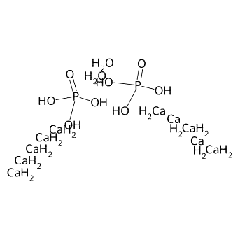 O.O.O=P(O)(O)O.O=P(O)(O)O.[CaH2].[CaH2].[CaH2].[CaH2].[CaH2].[CaH2].[CaH2].[CaH2].[CaH2].[CaH2]